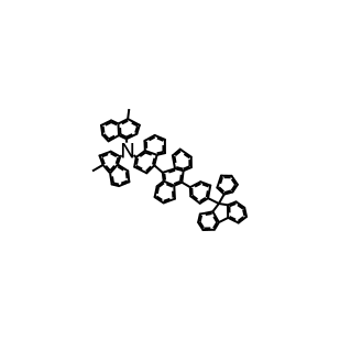 Cc1ccc(N(c2ccc(C)c3ccccc23)c2ccc(-c3c4ccccc4c(-c4ccc(C5(c6ccccc6)c6ccccc6-c6ccccc65)cc4)c4ccccc34)c3ccccc23)c2ccccc12